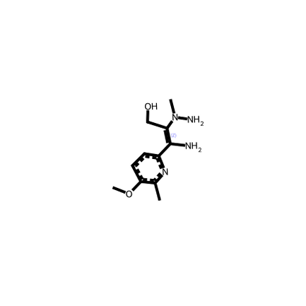 COc1ccc(/C(N)=C(\CO)N(C)N)nc1C